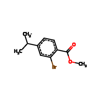 [CH2]C(C)c1ccc(C(=O)OC)c(Br)c1